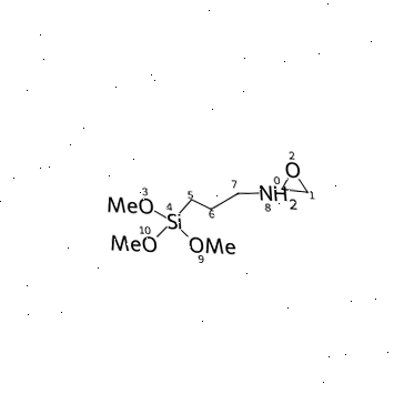 C1CO1.CO[Si](CCCN)(OC)OC